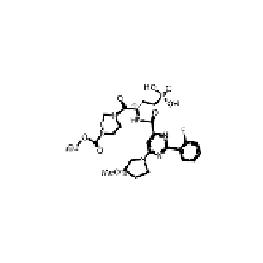 CCCCOC(=O)N1CCN(C(=O)[C@H](CCP(=O)(O)O)NC(=O)c2cc(N3CC[C@H](OC)C3)nc(-c3ccccc3F)n2)CC1